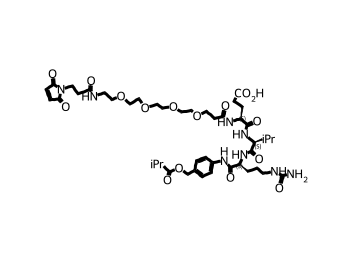 CC(C)C(=O)OCc1ccc(NC(=O)[C@H](CCCNC(N)=O)NC(=O)[C@@H](NC(=O)[C@H](CCC(=O)O)NC(=O)CCOCCOCCOCCOCCNC(=O)CCN2C(=O)C=CC2=O)C(C)C)cc1